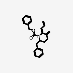 C=C/C=C1\C(=C)CCC(Cc2ccccc2)N1C(=O)OCc1ccccc1